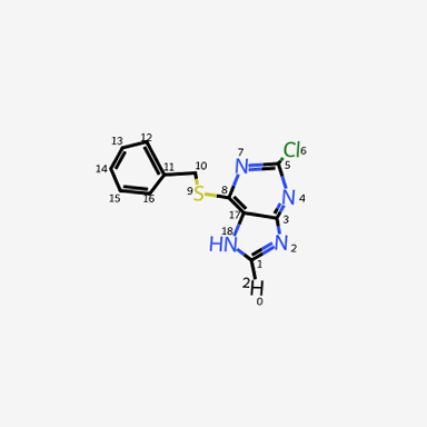 [2H]c1nc2nc(Cl)nc(SCc3ccccc3)c2[nH]1